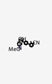 CO/N=C1\CC[C@@H](CO)N(C(=O)c2ccc(-c3cccc(C#N)c3C)cc2)C1